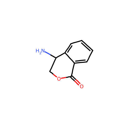 NC1COC(=O)c2ccccc21